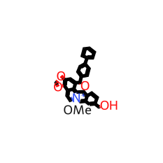 COc1c(CO)ccc2cc3c4c(C(=O)c5ccc(-c6ccccc6)cc5)cc5c(c4cc[n+]3cc12)OCO5